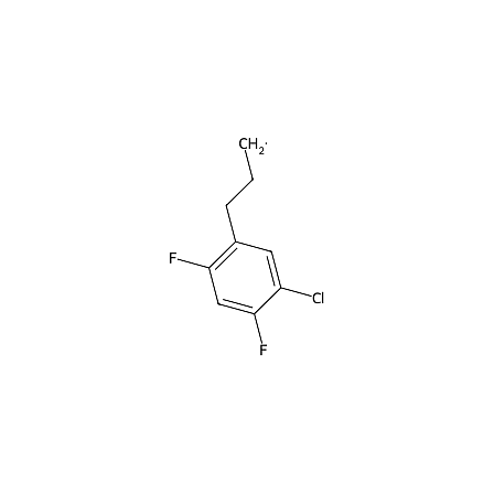 [CH2]CCc1cc(Cl)c(F)cc1F